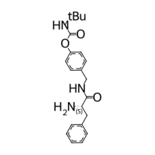 CC(C)(C)NC(=O)Oc1ccc(CNC(=O)[C@@H](N)Cc2ccccc2)cc1